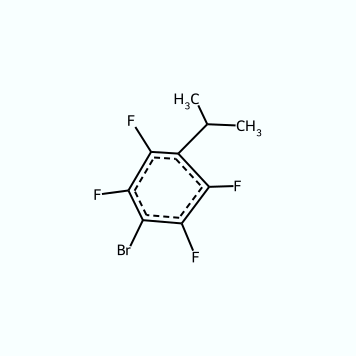 CC(C)c1c(F)c(F)c(Br)c(F)c1F